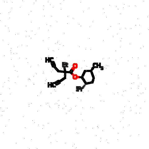 C#CCC(CC)(CC#C)C(=O)O[C@H]1C[C@@H](C)CC[C@@H]1C(C)C